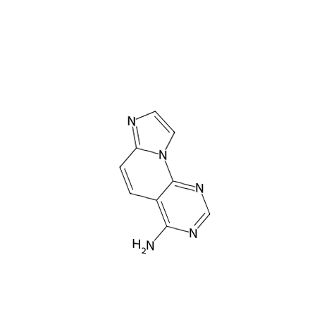 Nc1ncnc2c1ccc1nccn12